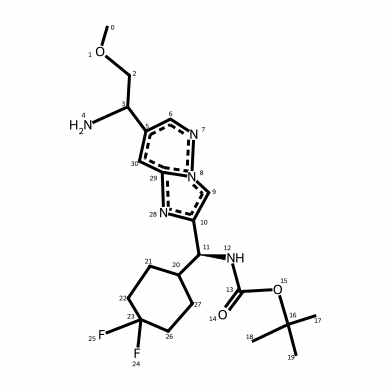 COCC(N)c1cnn2cc([C@@H](NC(=O)OC(C)(C)C)C3CCC(F)(F)CC3)nc2c1